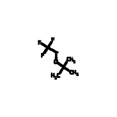 C[Si](C)(C)O[CH]C(F)(F)F